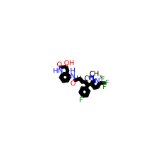 CN(C)c1nc(C(F)(F)F)ccc1C(=CC=CC(=O)Nc1cccc2c1CC(O)C(=O)N2)c1ccc(F)cc1